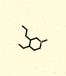 CCCC1CN(C)CCC1CC